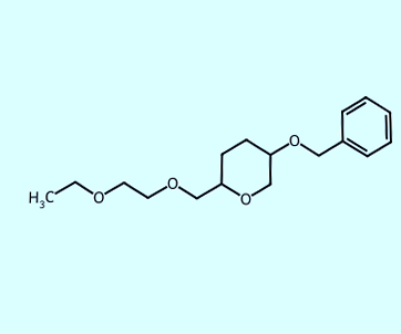 CCOCCOCC1CCC(OCc2ccccc2)CO1